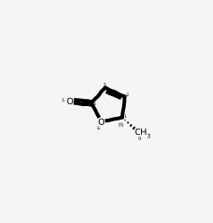 C[C@H]1C=CC(=O)O1